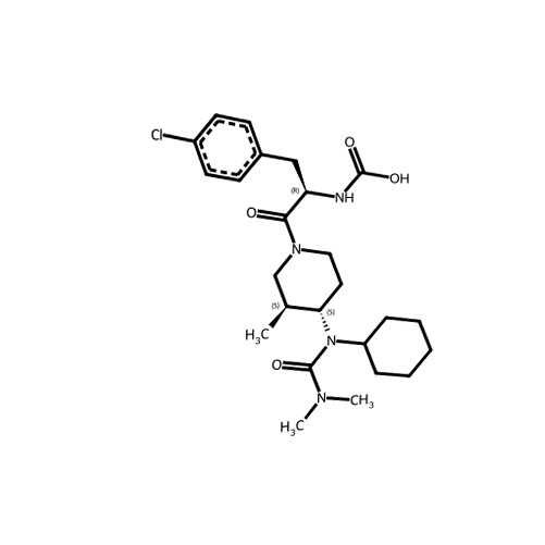 C[C@H]1CN(C(=O)[C@@H](Cc2ccc(Cl)cc2)NC(=O)O)CC[C@@H]1N(C(=O)N(C)C)C1CCCCC1